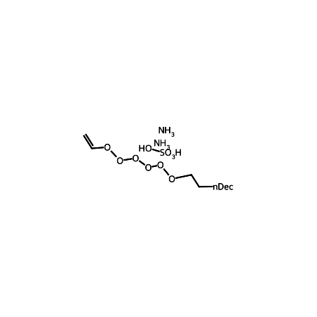 C=COOOOOOCCCCCCCCCCCC.N.N.O=S(=O)(O)O